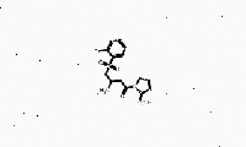 CC(CC(=O)N1CCCC1C(=O)O)CS(=O)(=O)c1ccccc1Cl